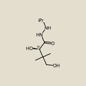 CC(C)NNC(=O)[C@H](O)C(C)(C)CO